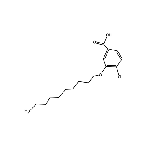 CCCCCCCCCCOc1cc(C(=O)O)ccc1Cl